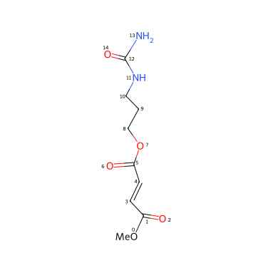 COC(=O)/C=C/C(=O)OCCCNC(N)=O